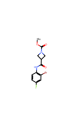 CC(C)(C)OC(=O)N1CC(C(=O)Nc2ccc(F)cc2Br)C1